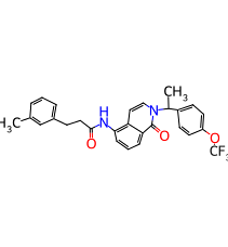 Cc1cccc(CCC(=O)Nc2cccc3c(=O)n(C(C)c4ccc(OC(F)(F)F)cc4)ccc23)c1